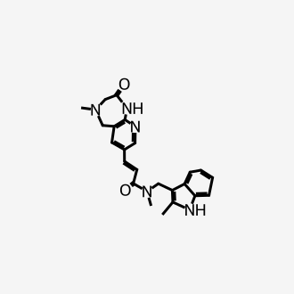 Cc1[nH]c2ccccc2c1CN(C)C(=O)/C=C/c1cnc2c(c1)CN(C)CC(=O)N2